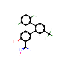 NC(=NO)c1cc(-c2cc(C(F)(F)F)ccc2-c2cc(F)ccc2Cl)ccc1O